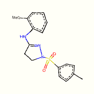 COc1ccccc1NC1=NN(S(=O)(=O)c2ccc(C)cc2)CC1